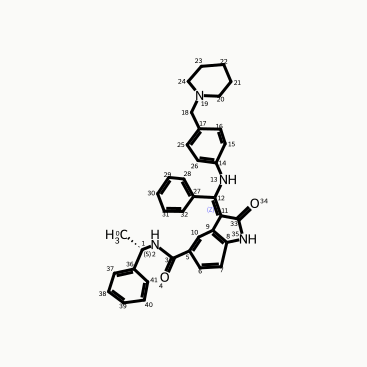 C[C@H](NC(=O)c1ccc2c(c1)/C(=C(/Nc1ccc(CN3CCCCC3)cc1)c1ccccc1)C(=O)N2)c1ccccc1